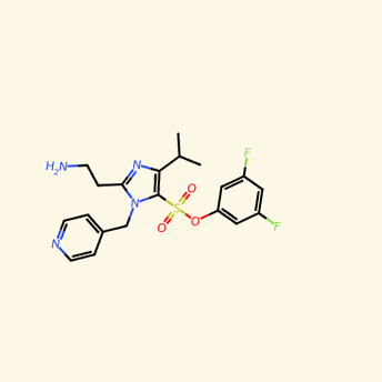 CC(C)c1nc(CCN)n(Cc2ccncc2)c1S(=O)(=O)Oc1cc(F)cc(F)c1